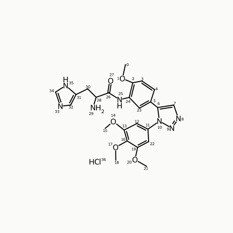 COc1ccc(-c2cnnn2-c2cc(OC)c(OC)c(OC)c2)cc1NC(=O)C(N)Cc1cnc[nH]1.Cl